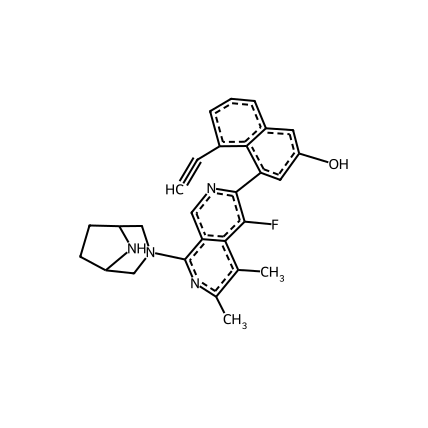 C#Cc1cccc2cc(O)cc(-c3ncc4c(N5CC6CCC(C5)N6)nc(C)c(C)c4c3F)c12